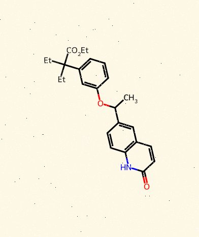 CCOC(=O)C(CC)(CC)c1cccc(OC(C)c2ccc3[nH]c(=O)ccc3c2)c1